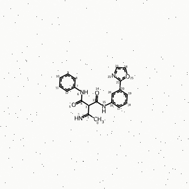 CC(=N)C(C(=O)Nc1ccccc1)C(=O)Nc1cccc(-c2ncco2)c1